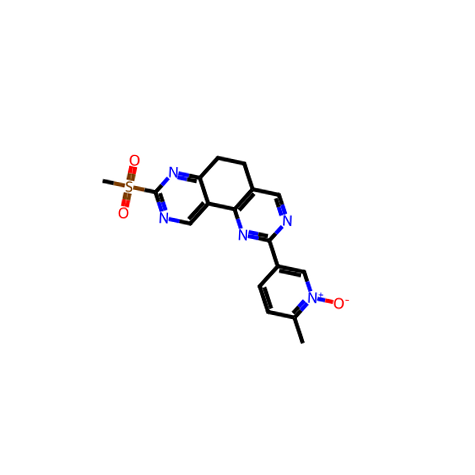 Cc1ccc(-c2ncc3c(n2)-c2cnc(S(C)(=O)=O)nc2CC3)c[n+]1[O-]